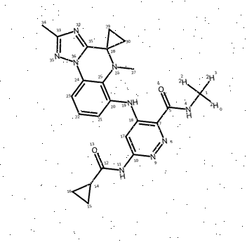 [2H]C([2H])([2H])NC(=O)c1nnc(NC(=O)C2CC2)cc1Nc1cccc2c1N(C)C1(CC1)c1nc(C)nn1-2